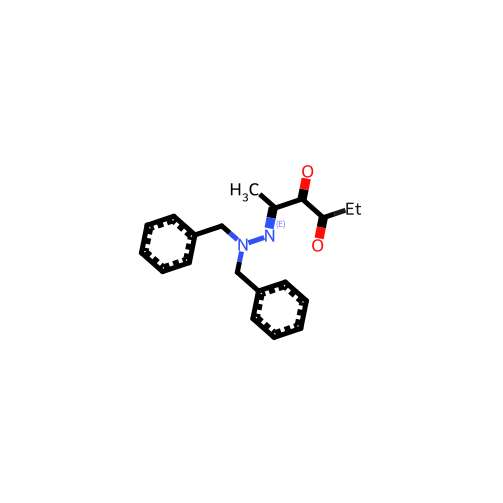 CCC(=O)C(=O)/C(C)=N/N(Cc1ccccc1)Cc1ccccc1